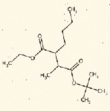 CCCCC(C(=O)OCC)C(C)C(=O)OC(C)(C)C